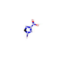 O=[N+]([O-])[n+]1ncn(I)n1